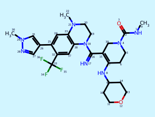 CNC(=O)N1CCC(NC2CCOCC2)=C(C(=N)N2CCN(C)c3cc(-c4cnn(C)c4)c(C(F)(F)F)cc32)C1